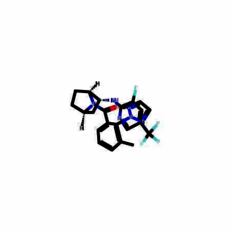 Cc1cccc(C(=O)N2[C@@H]3CC[C@H]2[C@H](Nc2ncc(C(F)(F)F)cc2F)C3)c1-n1nccn1